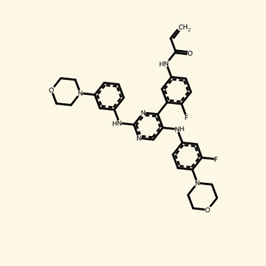 C=CC(=O)Nc1ccc(F)c(-c2nc(Nc3cccc(N4CCOCC4)c3)ncc2Nc2ccc(N3CCOCC3)c(F)c2)c1